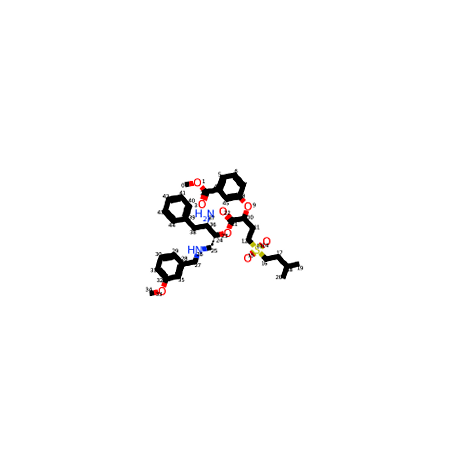 COC(=O)c1cccc(OC(CCS(=O)(=O)CCC(C)C)C(=O)O[C@H](CNCc2cccc(OC)c2)[C@@H](N)Cc2ccccc2)c1